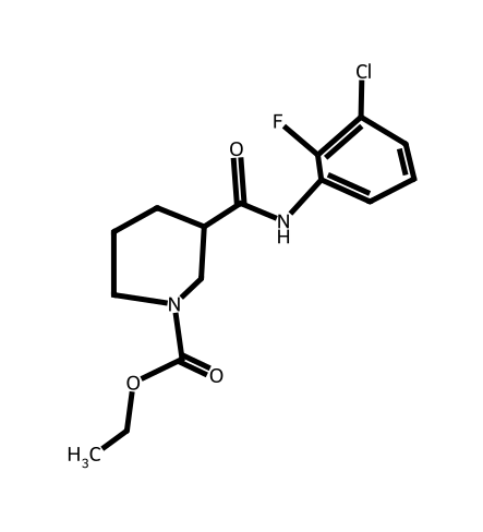 CCOC(=O)N1CCCC(C(=O)Nc2cccc(Cl)c2F)C1